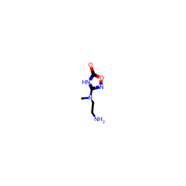 CN(CCN)c1noc(=O)[nH]1